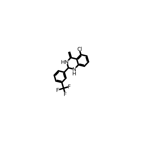 C=C1NC(c2cccc(C(F)(F)F)c2)Nc2cccc(Cl)c21